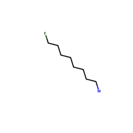 [N]CCCCCCCCF